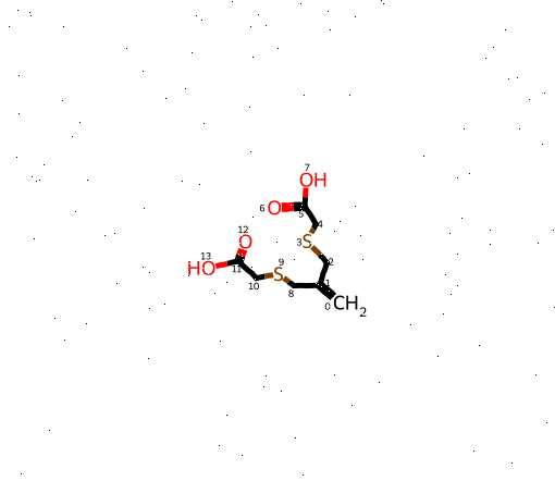 C=C(CSCC(=O)O)CSCC(=O)O